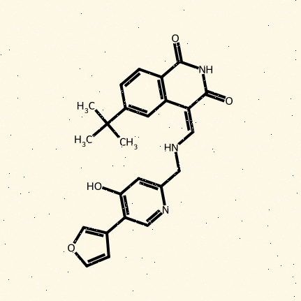 CC(C)(C)c1ccc2c(c1)/C(=C\NCc1cc(O)c(-c3ccoc3)cn1)C(=O)NC2=O